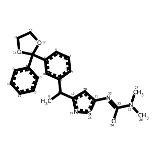 CC(c1cccc(C2(c3ccccc3)OCCO2)c1)c1cc(N=C(Cl)N(C)C)sn1